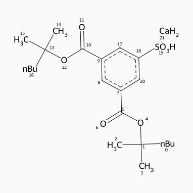 CCCCC(C)(C)OC(=O)c1cc(C(=O)OC(C)(C)CCCC)cc(S(=O)(=O)O)c1.[CaH2]